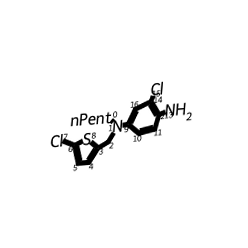 CCCCCN(Cc1ccc(Cl)s1)c1ccc(N)c(Cl)c1